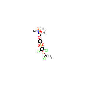 CC(=O)N(CC(C)COc1ccc(S(=O)(=O)c2cc(Cl)c(OCC(C)CCl)c(Cl)c2)cc1)S(C)(=O)=O